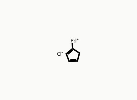 [Cl-].[Pd+][C]1=CC=CC1